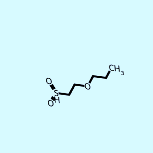 CCCOCC[SH](=O)=O